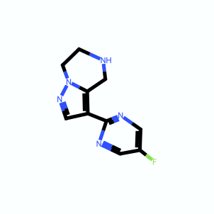 Fc1cnc(-c2cnn3c2CNCC3)nc1